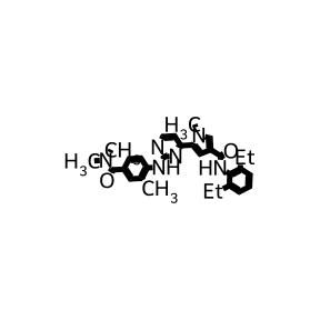 CCc1cccc(CC)c1NC(=O)c1cc(-c2ccnc(Nc3ccc(C(=O)N(C)C)cc3C)n2)n(C)c1